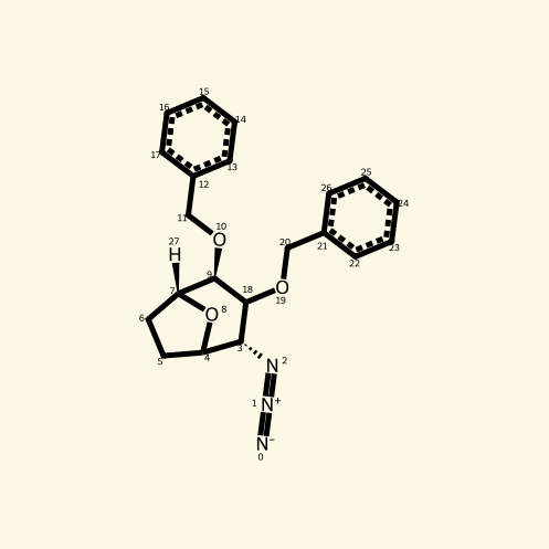 [N-]=[N+]=N[C@@H]1C2CC[C@@H](O2)[C@@H](OCc2ccccc2)C1OCc1ccccc1